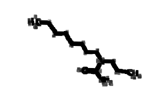 CCCCCCCCN(CCC)C(N)=O